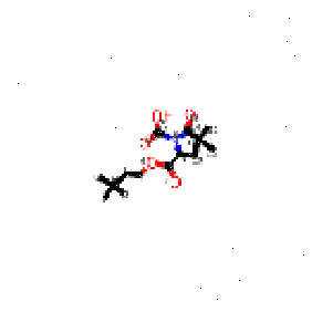 CC(C)(C)CCOC(=O)[C@@H]1CC(C)(C)C(=O)N1C(=O)O